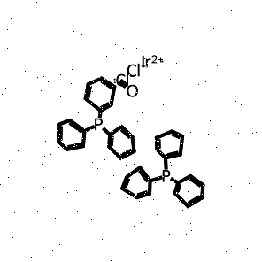 [C]=O.[Cl-].[Cl-].[Ir+2].c1ccc(P(c2ccccc2)c2ccccc2)cc1.c1ccc(P(c2ccccc2)c2ccccc2)cc1